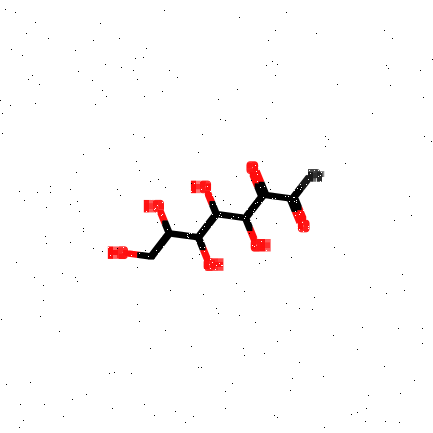 CC(C)C(=O)C(=O)C(O)C(O)C(O)C(O)CO